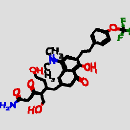 CN(C)c1cc(CCc2ccc(OC(F)(F)F)cc2)c(O)c2c1CC(CC(CCO)C(CO)C(=O)CC(N)=O)CC2=O